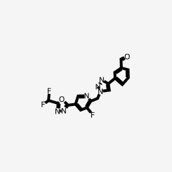 O=Cc1cccc(-c2cn(Cc3ncc(-c4nnc(C(F)F)o4)cc3F)nn2)c1